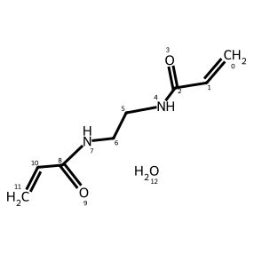 C=CC(=O)NCCNC(=O)C=C.O